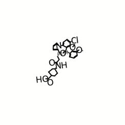 COc1cccc([C@H]2O[C@H](CCC(=O)NC3CCC(C(=O)O)CC3)c3cccn3-c3ccc(Cl)cc32)c1OC